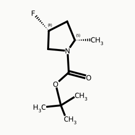 C[C@H]1C[C@@H](F)CN1C(=O)OC(C)(C)C